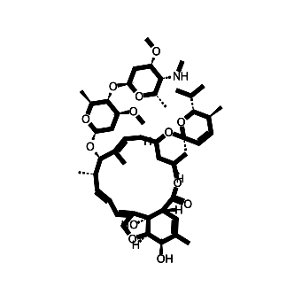 CN[C@@H]1[C@H](C)O[C@@H](O[C@H]2[C@H](C)O[C@@H](O[C@@H]3/C(C)=C/C[C@@H]4C[C@@H](C[C@]5(C=C[C@H](C)[C@@H](C(C)C)O5)O4)OC(=O)[C@@H]4C=C(C)[C@@H](O)[C@H]5OC/C(=C\C=C\[C@@H]3C)[C@]54O)C[C@@H]2OC)C[C@@H]1OC